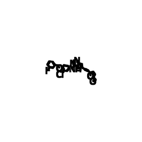 O=Cc1ccc(C#Cc2cc3ncnc(Nc4ccc(OCc5cccc(F)c5)c(Cl)c4)c3s2)o1